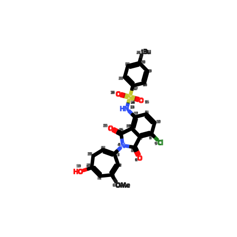 COC1=CC(N2C(=O)c3c(Cl)ccc(NS(=O)(=O)c4ccc(C(C)(C)C)cc4)c3C2=O)=CCC(O)=C1